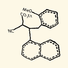 CCOC(=O)C(C#N)C(c1ccccc1OC)c1cccc2ccccc12